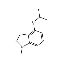 CC(C)Oc1cccc2c1CCN2C